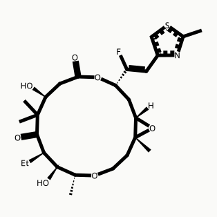 CC[C@H]1C(=O)C(C)(C)[C@@H](O)CC(=O)O[C@H](C(F)=Cc2csc(C)n2)C[C@@H]2O[C@]2(C)CCO[C@H](C)[C@H]1O